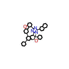 CC12C(c3nc(-c4ccc5ccccc5c4)nc(-c4cccc5oc6ccc(-c7cccc(-c8ccccc8)c7)cc6c45)n3)=CC=CC1Oc1ccccc12